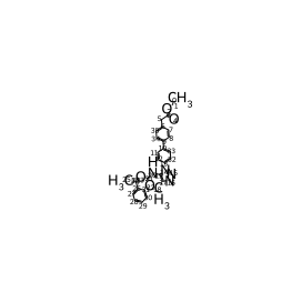 CCOC(=O)Cc1ccc(-c2ccc(-n3nnc(C)c3NC(=O)O[C@H](C)c3ccccc3)cc2)cc1